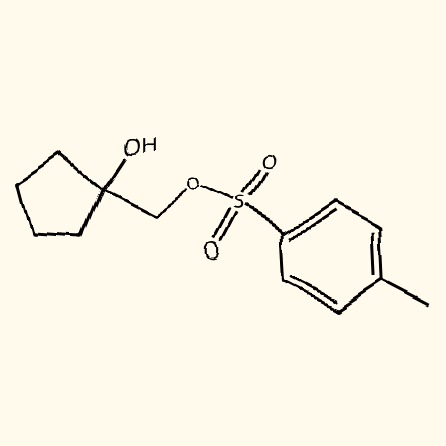 Cc1ccc(S(=O)(=O)OCC2(O)CCCC2)cc1